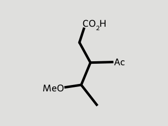 COC(C)C(CC(=O)O)C(C)=O